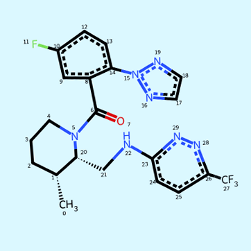 C[C@@H]1CCCN(C(=O)c2cc(F)ccc2-n2nccn2)[C@@H]1CNc1ccc(C(F)(F)F)nn1